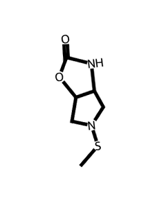 CSN1CC2NC(=O)OC2C1